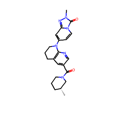 C[C@@H]1CCCN(C(=O)c2cnc3c(c2)CCCN3c2ccn3c(=O)n(C)nc3c2)C1